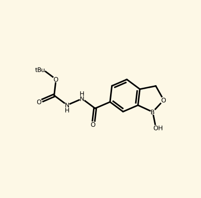 CC(C)(C)OC(=O)NNC(=O)c1ccc2c(c1)B(O)OC2